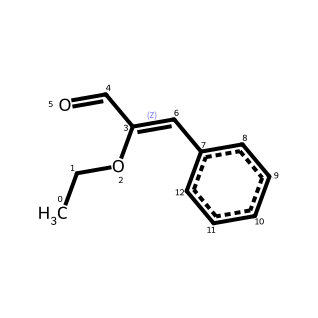 CCO/C(C=O)=C\c1ccccc1